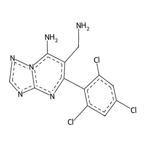 NCc1c(-c2c(Cl)cc(Cl)cc2Cl)nc2ncnn2c1N